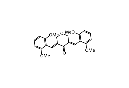 COc1cccc(OC)c1/C=C1\COC/C(=C\c2c(OC)cccc2OC)C1=O